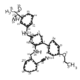 CCOc1ccc(-c2cnc(Nc3cccc(S(C)(=N)=O)c3)nc2NCc2ccccc2C#N)cc1